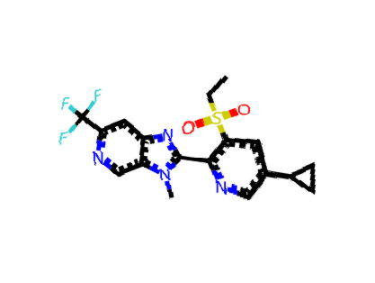 CCS(=O)(=O)c1cc(C2CC2)cnc1-c1nc2cc(C(F)(F)F)ncc2n1C